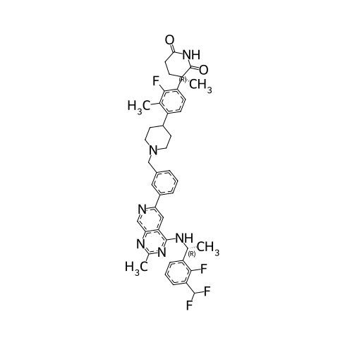 Cc1nc(N[C@H](C)c2cccc(C(F)F)c2F)c2cc(-c3cccc(CN4CCC(c5ccc([C@@]6(C)CCC(=O)NC6=O)c(F)c5C)CC4)c3)ncc2n1